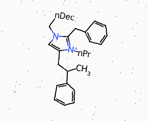 CCCCCCCCCCCn1cc(CC(C)c2ccccc2)[n+](CCC)c1Cc1ccccc1